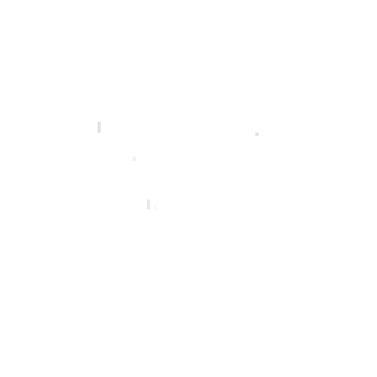 Cc1cc(I)nn(C)c1=O